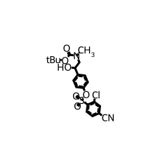 CN(CC(O)c1ccc(OS(=O)(=O)c2ccc(C#N)cc2Cl)cc1)C(=O)OC(C)(C)C